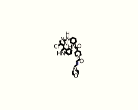 O=C(N[C@@H]1CCC[C@H](Nc2ncc(Cl)c(-c3c[nH]c4ccccc34)n2)C1)C1CCN(C(=O)/C=C/CN2CCOCC2)CC1